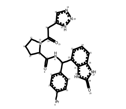 CC(C)c1ccc(C(NC(=O)C2CCCN2C(=O)Cc2cnn[nH]2)c2cccc3[nH]c(=O)[nH]c23)cc1